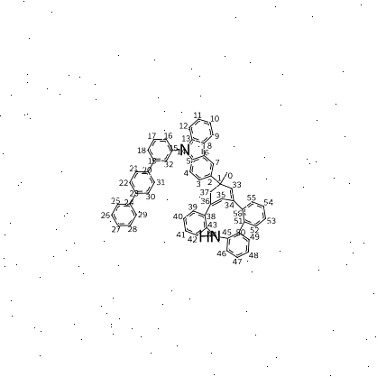 CC1(c2ccc3c(c2)c2ccccc2n3-c2cccc(-c3ccc(-c4ccccc4)cc3)c2)C=C2C=C(C1)c1ccccc1Nc1ccccc1-c1ccccc12